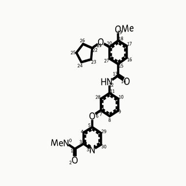 CNC(=O)c1cc(Oc2cccc(NC(=O)c3ccc(OC)c(OC4CCCC4)c3)c2)ccn1